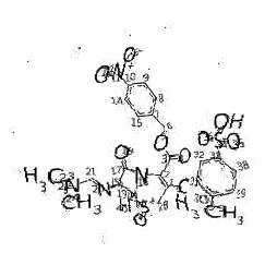 CC1=C(C(=O)OCc2ccc([N+](=O)[O-])cc2)N2C(=O)[C@H](N=CN(C)C)[C@@H]2[S@+]([O-])C1.Cc1ccc(S(=O)(=O)O)cc1